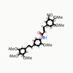 COc1cc(C=Cc2cc(OC)c(OC)c(OC)c2)ccc1NC(=O)/C=C/c1cc(OC)c(OC)c([N+](=O)[O-])c1